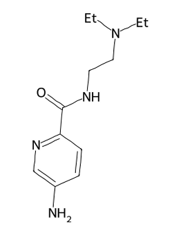 CCN(CC)CCNC(=O)c1ccc(N)cn1